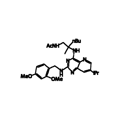 CCCCC(C)(CNC(C)=O)Nc1nc(NCc2ccc(OC)cc2OC)nc2cc(C(C)C)cnc12